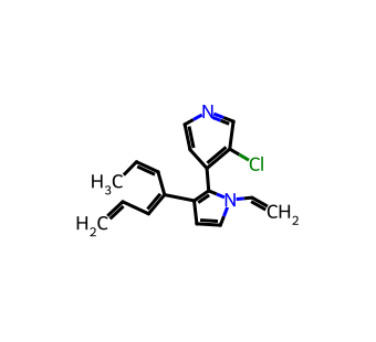 C=C/C=C(\C=C/C)c1ccn(C=C)c1-c1ccncc1Cl